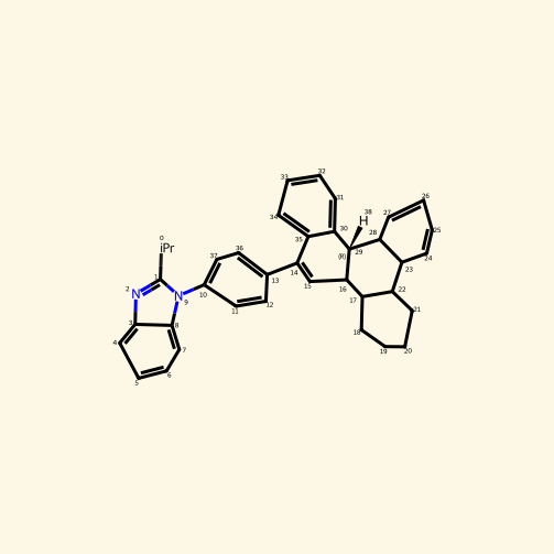 CC(C)c1nc2ccccc2n1-c1ccc(C2=CC3C4CCCCC4C4C=CC=CC4[C@H]3c3ccccc32)cc1